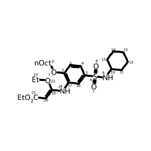 CCCCCCCCOc1ccc(S(=O)(=O)NC2CCCCC2)cc1N/C(=C/C(=O)OCC)OCC